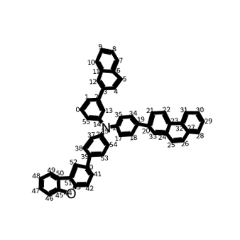 c1cc(-c2ccc3ccccc3c2)cc(N(c2ccc(-c3ccc4c(ccc5ccccc54)c3)cc2)c2ccc(-c3ccc4oc5ccccc5c4c3)cc2)c1